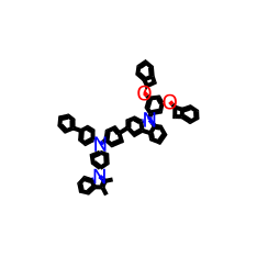 Cc1c(C)n(-c2ccc(N(c3ccc(-c4ccccc4)cc3)c3ccc(-c4ccc5c(c4)c4ccccc4n5-c4cc(OC5Cc6ccccc65)cc(O[C@@H]5Cc6ccccc65)c4)cc3)cc2)c2ccccc12